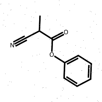 CC(C#N)C(=O)Oc1ccccc1